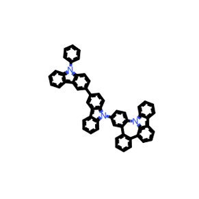 c1ccc(-n2c3ccccc3c3cc(-c4ccc5c(c4)c4ccccc4n5-c4ccc5c(c4)-c4ccccc4-c4cccc6c7ccccc7n-5c46)ccc32)cc1